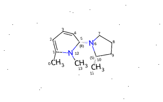 CC1=CC=C[C@H](N2CCC[C@@H]2C)N1C